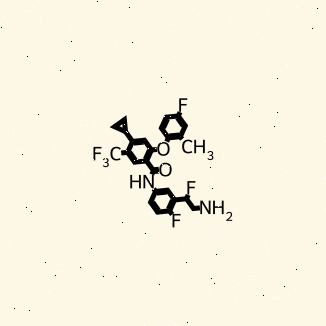 Cc1cc(F)ccc1Oc1cc(C2CC2)c(C(F)(F)F)cc1C(=O)Nc1ccc(F)c(C(F)CN)c1